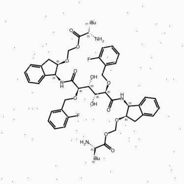 CC[C@H](C)[C@H](N)C(=O)OCO[C@@H]1Cc2ccccc2[C@@H]1NC(=O)[C@H](OCc1ccccc1F)[C@H](O)[C@@H](O)[C@@H](OCc1ccccc1F)C(=O)N[C@H]1c2ccccc2C[C@H]1OCOC(=O)[C@@H](N)[C@@H](C)CC